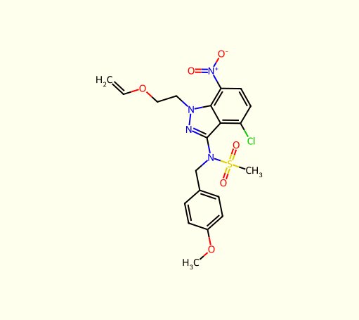 C=COCCn1nc(N(Cc2ccc(OC)cc2)S(C)(=O)=O)c2c(Cl)ccc([N+](=O)[O-])c21